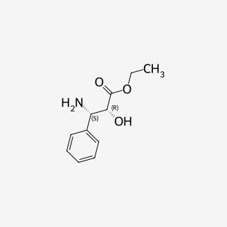 CCOC(=O)[C@H](O)[C@@H](N)c1ccccc1